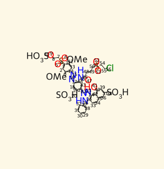 COc1cc(S(=O)(=O)CCOS(=O)(=O)O)c(OC)cc1/N=N/c1cc(S(=O)(=O)O)c(/N=N/c2c(Nc3ccccc3)ccc3cc(S(=O)(=O)O)cc(O)c23)cc1NC(=O)CCCS(=O)(=O)CCCl